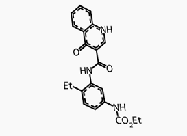 CCOC(=O)Nc1ccc(CC)c(NC(=O)c2c[nH]c3ccccc3c2=O)c1